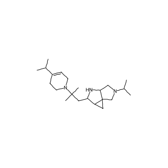 CC(C)C1=CCN(C(C)(C)CC2NC3CN(C(C)C)CC34CC24)CC1